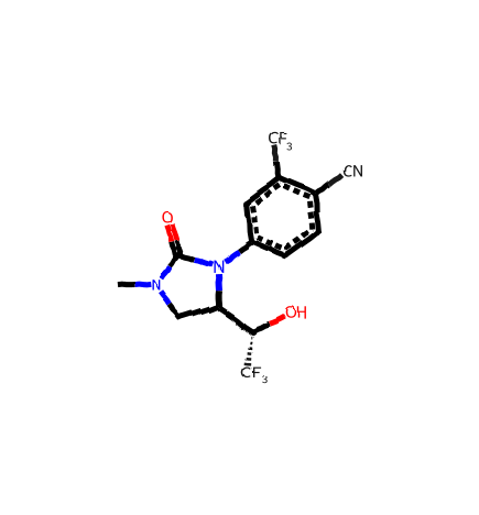 CN1CC([C@H](O)C(F)(F)F)N(c2ccc(C#N)c(C(F)(F)F)c2)C1=O